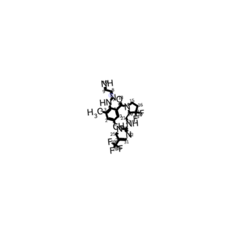 Cc1cc(C)c(N/N=C\C=N)c(C(=O)N2CCC(F)(F)[C@H]2CNc2ncc(C(F)(F)F)cn2)c1